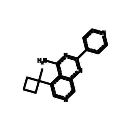 CC1(c2cncc3nc(-c4ccncc4)nc(N)c23)CCC1